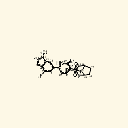 CCn1ncc2c(F)cc(-c3ccc(C4CC5CCC(C4)N5S(=O)(=O)C(C)C)c(=O)[nH]3)cc21